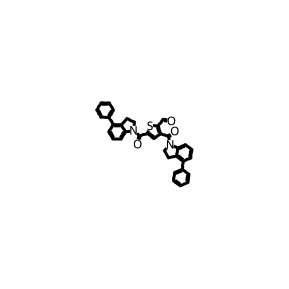 O=Cc1sc(C(=O)N2CCc3c(-c4ccccc4)cccc32)cc1C(=O)N1CCc2c(-c3ccccc3)cccc21